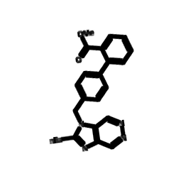 CCCCc1nc2cnncc2n1Cc1ccc(-c2ccccc2C(=O)OC)cc1